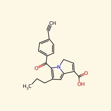 C#Cc1ccc(C(=O)c2c(CCC)cc3n2CC=C3C(=O)O)cc1